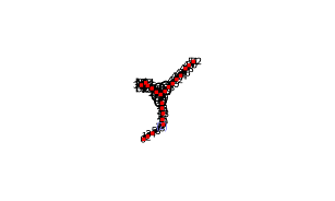 CCCCCCCC/C=C\CCCCCCCCOCC1OC(C)(CCCN2CCN(C)CC2)OC1COCCCCCCCCCCCCCCC